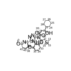 COC1=NC(c2nnc(N(CC[Si](C)(C)C)S(=O)(=O)[C@H](C)[C@@H](O)C3CCCCC3)n2-c2c(O)cccc2OC)=C=C=C1